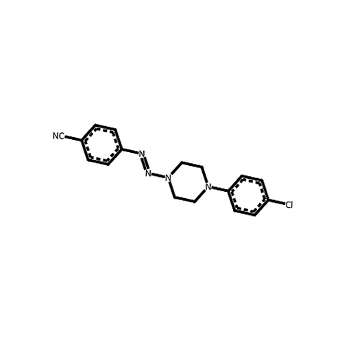 N#Cc1ccc(N=NN2CCN(c3ccc(Cl)cc3)CC2)cc1